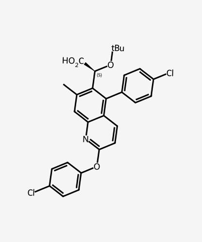 Cc1cc2nc(Oc3ccc(Cl)cc3)ccc2c(-c2ccc(Cl)cc2)c1[C@H](OC(C)(C)C)C(=O)O